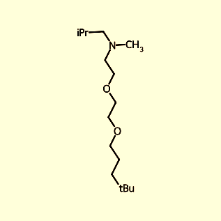 CC(C)CN(C)CCOCCOCCCC(C)(C)C